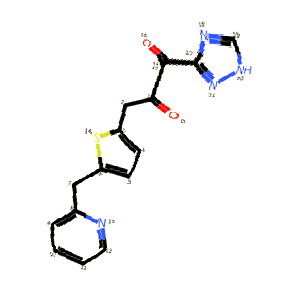 O=C(Cc1ccc(Cc2ccccn2)s1)C(=O)c1nc[nH]n1